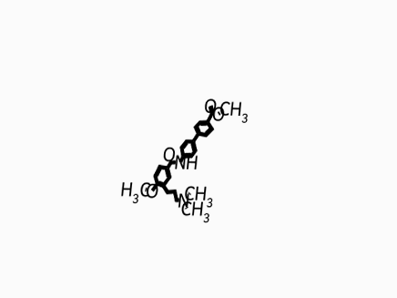 COC(=O)c1ccc(-c2ccc(NC(=O)c3ccc(OC)c(CCCN(C)C)c3)cc2)cc1